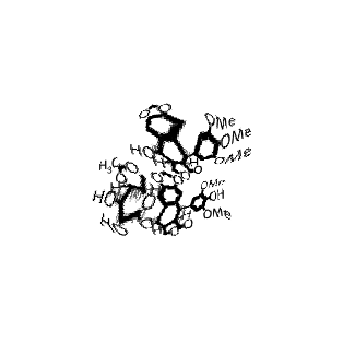 COc1cc([C@@H]2c3cc4c(cc3[C@@H](O[C@@H]3O[C@@H]5CO[C@@H](C)O[C@H]5[C@H](O)[C@H]3O)[C@H]3COC(=O)[C@H]23)OCO4)cc(OC)c1O.COc1cc([C@@H]2c3cc4c(cc3[C@H](O)[C@H]3COC(=O)[C@H]23)OCO4)cc(OC)c1OC